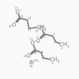 CCCC(=O)[O-].CCCC(=O)[O-].CCCC(=O)[O-].[Bi+3]